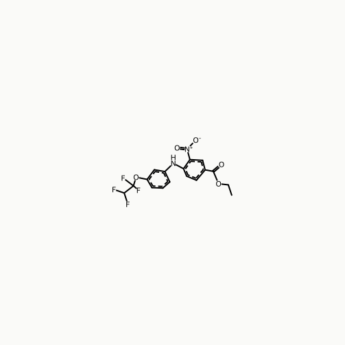 CCOC(=O)c1ccc(Nc2cccc(OC(F)(F)C(F)F)c2)c([N+](=O)[O-])c1